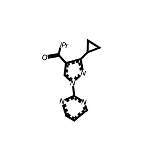 CC(C)C(=O)c1cn(-c2ncccn2)nc1C1CC1